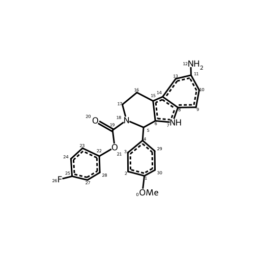 COc1ccc(C2c3[nH]c4ccc(N)cc4c3CCN2C(=O)Oc2ccc(F)cc2)cc1